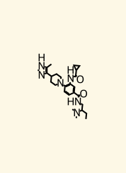 CCC(CNC(=O)c1ccc(N2CCC(c3nc[nH]c3C)CC2)c(NC(=O)C2CC2)c1)N(C)C